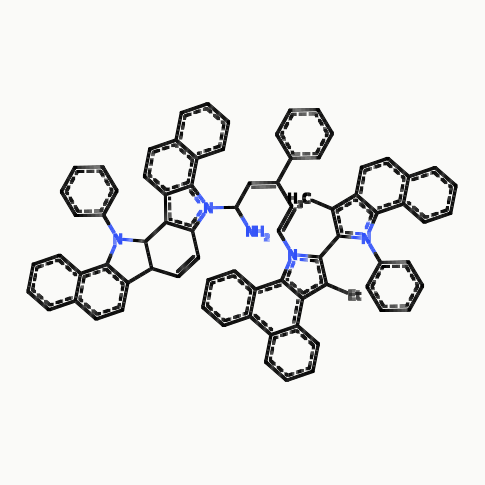 CCc1c(-c2c(C)c3ccc4ccccc4c3n2-c2ccccc2)n(/C=C/C(=C\C(N)n2c3c(c4ccc5ccccc5c42)C2C(C=C3)c3ccc4ccccc4c3N2c2ccccc2)c2ccccc2)c2c3ccccc3c3ccccc3c12